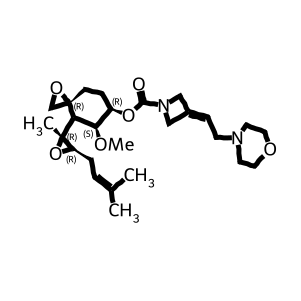 CO[C@H]1C([C@@]2(C)O[C@@H]2CC=C(C)C)[C@]2(CC[C@H]1OC(=O)N1CC(=CCN3CCOCC3)C1)CO2